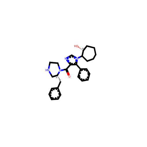 O=C(c1ncn(C2CCCCC[C@H]2O)c1-c1ccccc1)N1CCNC[C@H]1Cc1ccccc1